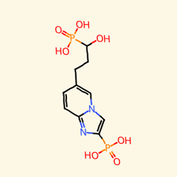 O=P(O)(O)c1cn2cc(CCC(O)P(=O)(O)O)ccc2n1